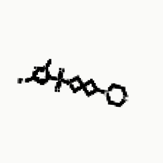 CC(C)c1cc(S(=O)(=O)N2CC3(CC(N4CCOCC4)C3)C2)n(C)n1